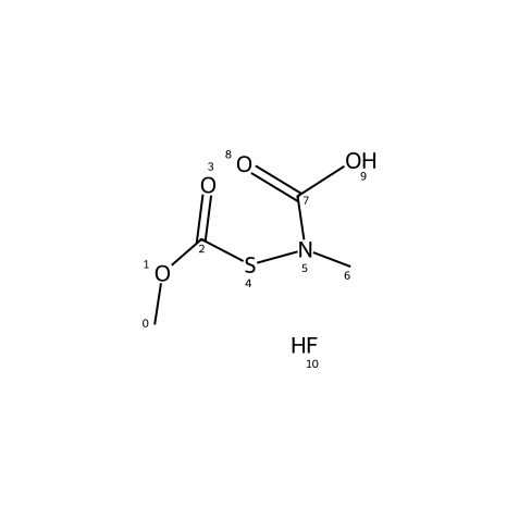 COC(=O)SN(C)C(=O)O.F